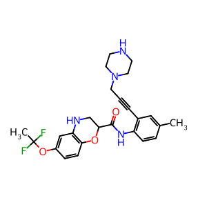 Cc1ccc(NC(=O)C2CNc3cc(OC(C)(F)F)ccc3O2)c(C#CCN2CCNCC2)c1